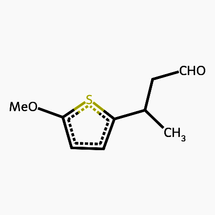 COc1ccc(C(C)CC=O)s1